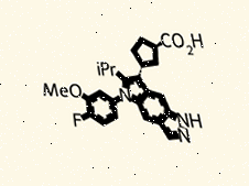 COc1cc(-n2c(C(C)C)c([C@@H]3CC[C@@H](C(=O)O)C3)c3cc4[nH]ncc4cc32)ccc1F